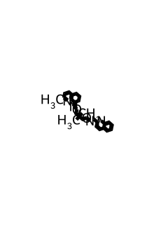 Cc1ccc2c(n1)/C(=N/OCC(C)(C)CO/N=C/c1ccc3ccccc3n1)CCC2